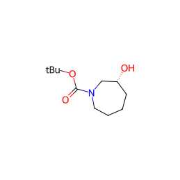 CC(C)(C)OC(=O)N1CCCC[C@@H](O)C1